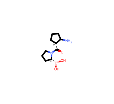 NC1CCC[C@H]1C(=O)N1CCC[C@H]1B(O)O